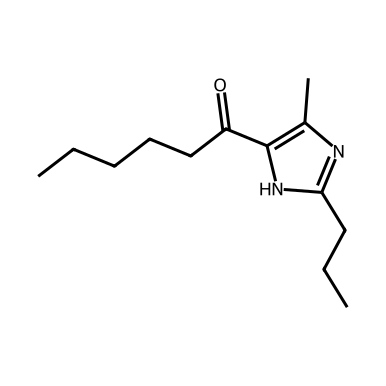 CCCCCC(=O)c1[nH]c(CCC)nc1C